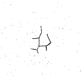 CCC(C)N(C(C)C)C(C)CC